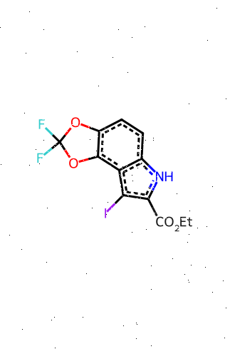 CCOC(=O)c1[nH]c2ccc3c(c2c1I)OC(F)(F)O3